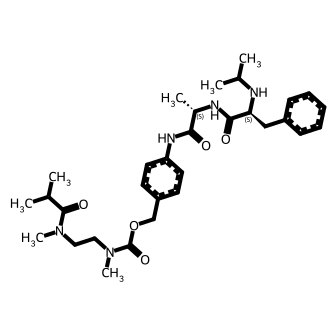 CC(C)N[C@@H](Cc1ccccc1)C(=O)N[C@@H](C)C(=O)Nc1ccc(COC(=O)N(C)CCN(C)C(=O)C(C)C)cc1